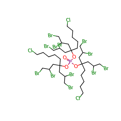 O=P(OC(CCCCCCl)(CC(Br)CBr)CC(Br)CBr)(OC(CCCCCCl)(CC(Br)CBr)CC(Br)CBr)OC(CCCCCCl)(CC(Br)CBr)CC(Br)CBr